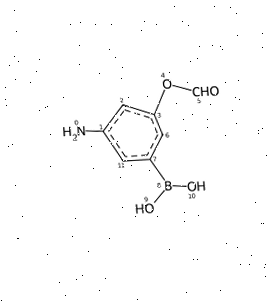 Nc1cc(OC=O)cc(B(O)O)c1